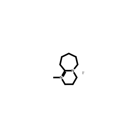 C[N+]1=C2CCCCCN2CCC1.[I-]